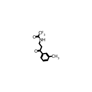 Cc1cccc(C(=O)CCNC(=O)C(F)(F)F)c1